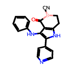 N#CB1CCc2[nH]c(-c3ccncc3)c(Nc3ccccc3)c2C1=O